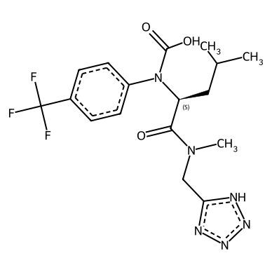 CC(C)C[C@@H](C(=O)N(C)Cc1nnn[nH]1)N(C(=O)O)c1ccc(C(F)(F)F)cc1